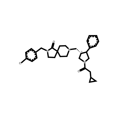 O=C(CC1CC1)N1CC(c2ccccc2)[C@@H](CN2CCC3(CC2)CCN(Cc2ccc(Cl)cc2)C3=O)C1